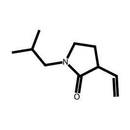 C=CC1CCN(C[C](C)C)C1=O